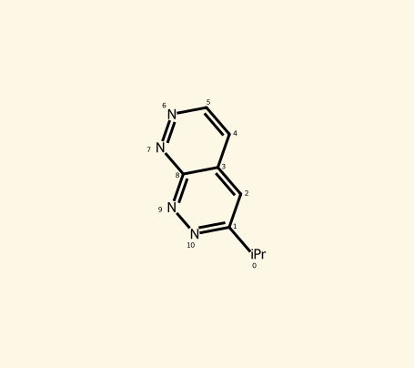 CC(C)c1cc2ccnnc2nn1